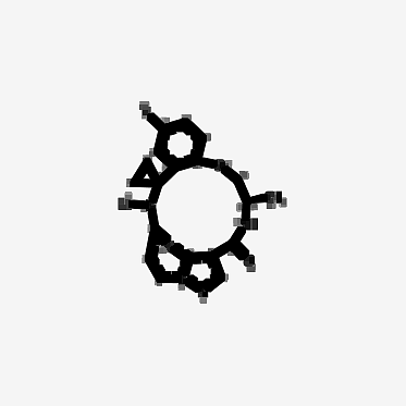 CCN1c2ccn3ncc(c3n2)C(=O)N[C@H](C)COc2ccc(F)cc2C12CC2